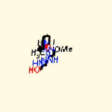 COc1cc(Nc2cc(CO)[nH]n2)nc(N(C)[C@H]2C[C@H]3CCC[C@@H](C2)N3C(=O)C2CCC2)n1